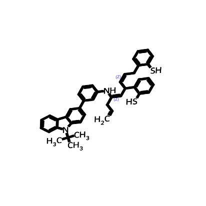 C=CC/C(=C/C(/C=C\Cc1ccccc1S)c1ccccc1S)Nc1cccc(-c2ccc3c(c2)c2ccccc2n3C(C)(C)C)c1